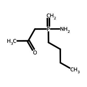 C=P(N)(CCCC)CC(C)=O